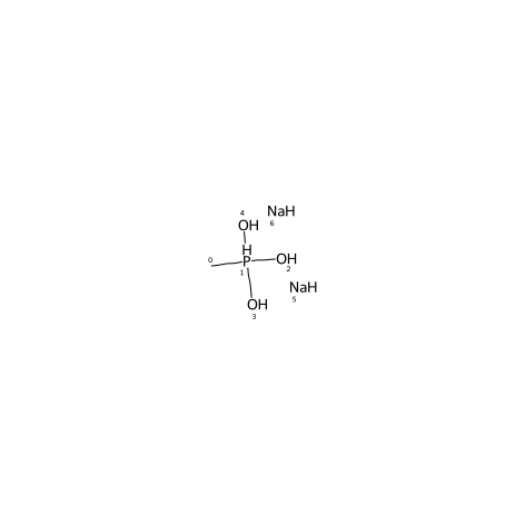 C[PH](O)(O)O.[NaH].[NaH]